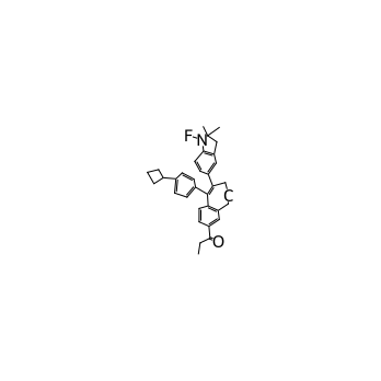 CCC(=O)c1ccc2c(c1)CCCC(c1ccc3c(c1)CC(C)(C)N3F)=C2c1ccc(C2CCC2)cc1